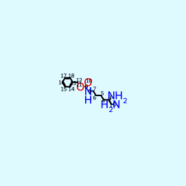 NCC(N)CCCCNC(=O)OCc1ccccc1